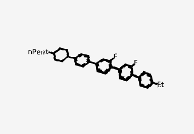 CCCCCC1CCC(c2ccc(-c3ccc(-c4ccc(-c5ccc(CC)cc5)c(F)c4)c(F)c3)cc2)CC1